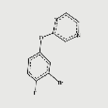 Fc1ccc(Oc2cnccn2)cc1Br